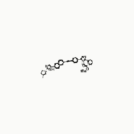 CC1=C[C@@H](c2ncc(-c3ccc4cc(C#Cc5ccc(-c6cnc([C@H]7CCCN7C(=O)OC(C)(C)C)[nH]6)cc5)ccc4c3)[nH]2)CC1